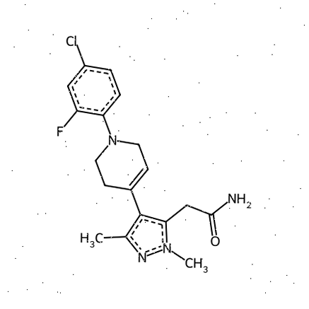 Cc1nn(C)c(CC(N)=O)c1C1=CCN(c2ccc(Cl)cc2F)CC1